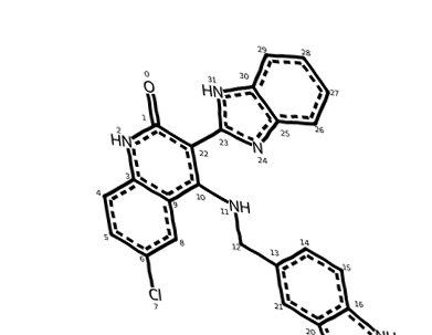 O=c1[nH]c2ccc(Cl)cc2c(NCc2ccc3[nH]cnc3c2)c1-c1nc2ccccc2[nH]1